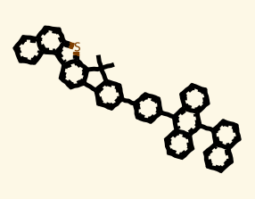 CC1(C)c2cc(-c3ccc(-c4c5ccccc5c(-c5cccc6ccccc56)c5ccccc45)cc3)ccc2-c2ccc3c(sc4ccc5ccccc5c43)c21